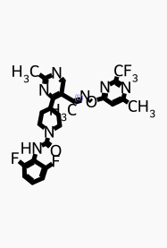 C/C(=N\Oc1cc(C)nc(C(F)(F)F)n1)c1cnc(C)nc1C1CCN(C(=O)Nc2c(F)cccc2F)CC1